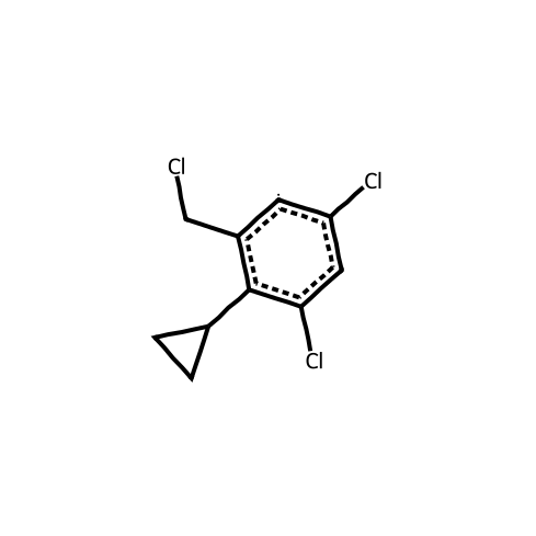 ClCc1[c]c(Cl)cc(Cl)c1C1CC1